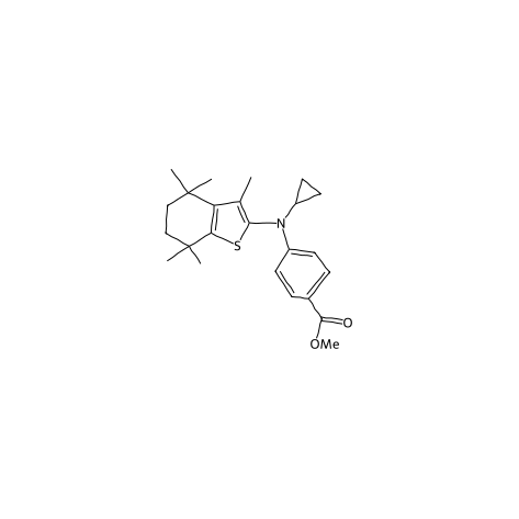 COC(=O)c1ccc(N(c2sc3c(c2C)C(C)(C)CCC3(C)C)C2CC2)cc1